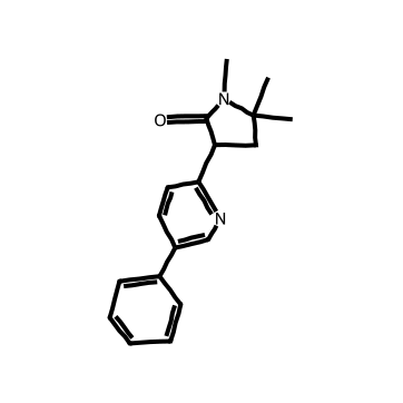 CN1C(=O)C(c2ccc(-c3ccccc3)cn2)CC1(C)C